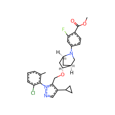 COC(=O)c1ccc(N2C[C@@H]3C[C@H]2C[C@H]3OCc2c(C3CC3)cnn2-c2c(C)cccc2Cl)cc1F